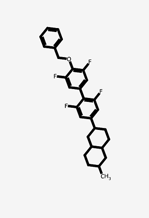 CC1CCC2CC(c3cc(F)c(-c4cc(F)c(OCc5ccccc5)c(F)c4)c(F)c3)CCC2C1